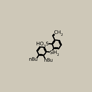 C=Cc1cccc([SiH2]c2cccc(CCCC)c2CCCC)c1S(=O)(=O)O